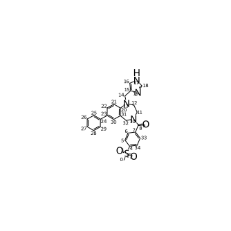 CS(=O)(=O)c1ccc(C(=O)N2CCN(Cc3c[nH]cn3)c3ccc(-c4ccccc4)cc3C2)cc1